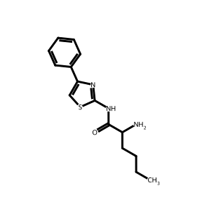 CCCCC(N)C(=O)Nc1nc(-c2ccccc2)cs1